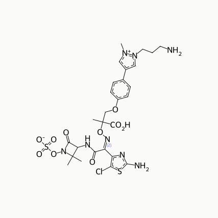 C[n+]1cc(-c2ccc(OCC(C)(O/N=C(\C(=O)NC3C(=O)N(OS(=O)(=O)[O-])C3(C)C)c3nc(N)sc3Cl)C(=O)O)cc2)cn1CCCN